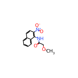 COCC(=O)Nc1c([N+](=O)[O-])ccc2ccccc12